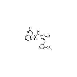 O=C(NC1CC(=O)N(Cc2ccccc2C(F)(F)F)C1)c1cc(Cl)nc2ccccc12